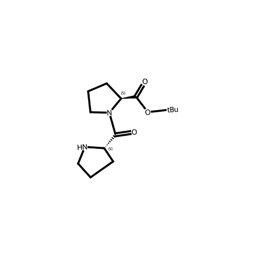 CC(C)(C)OC(=O)[C@@H]1CCCN1C(=O)[C@@H]1CCCN1